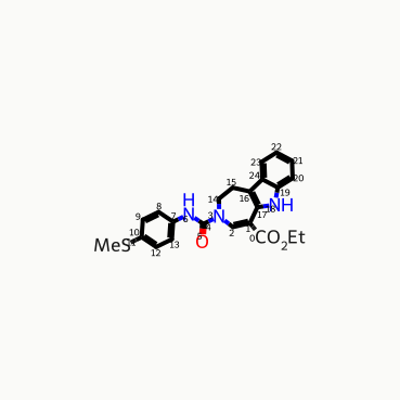 CCOC(=O)C1=CN(C(=O)Nc2ccc(SC)cc2)CCc2c1[nH]c1ccccc21